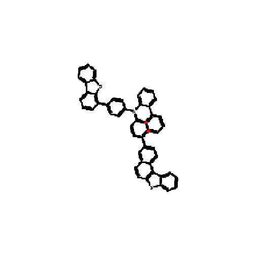 c1ccc(-c2ccccc2N(c2ccc(-c3ccc4c(ccc5sc6ccccc6c54)c3)cc2)c2ccc(-c3cccc4c3sc3ccccc34)cc2)cc1